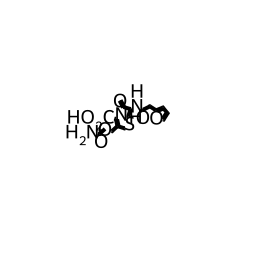 NC(=O)OCC1=C(C(=O)O)N2C(=O)C(NC(=O)Cc3ccco3)[C@H]2SC1